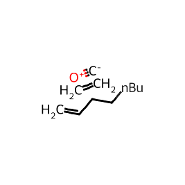 C=C.C=CCCCCCC.[C-]#[O+]